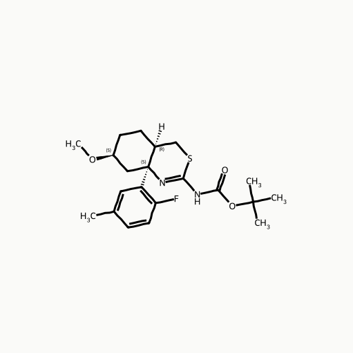 CO[C@H]1CC[C@H]2CSC(NC(=O)OC(C)(C)C)=N[C@@]2(c2cc(C)ccc2F)C1